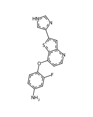 Nc1ccc(Oc2ccnc3cc(-c4c[nH]cn4)sc23)c(F)c1